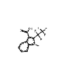 Cn1c(C(F)(F)C(F)(F)F)c(C(=O)O)c2ccccc21